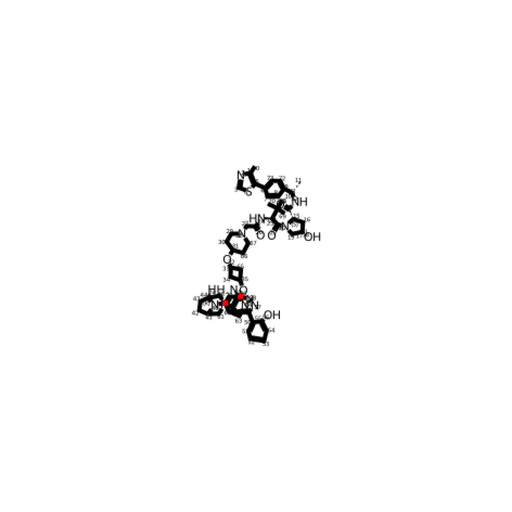 Cc1ncsc1-c1ccc([C@H](C)NC(=O)[C@@H]2C[C@@H](O)CN2C(=O)[C@@H](NC(=O)CN2CCC(OC3CC(Oc4cc(N5C6CC[C@@H]5CN(c5cc(-c7ccccc7O)nnc5N)C6)ccn4)C3)CC2)C(C)(C)C)cc1